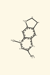 Nc1nc2cc3c(cc2[n+]([O-])n1)OCC3